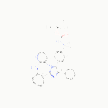 CC(C)(C)OC(=O)NC1(c2ccc(-c3c(-c4ccccc4)nc4n3-c3cccnc3Nc3ccccc3-4)cc2)CC1